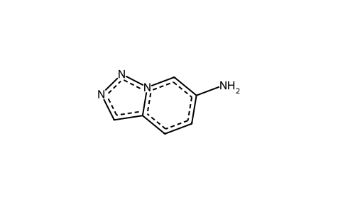 Nc1ccc2cnnn2c1